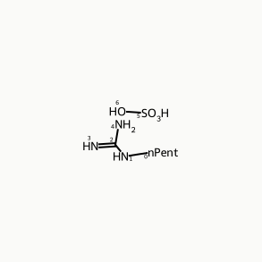 CCCCCNC(=N)N.O=S(=O)(O)O